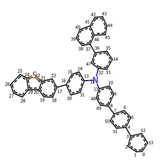 c1ccc(-c2ccc(-c3ccc(N(c4ccc(-c5ccc6c(c5)sc5ccccc56)cc4)c4cccc(-c5cccc6ccccc56)c4)cc3)cc2)cc1